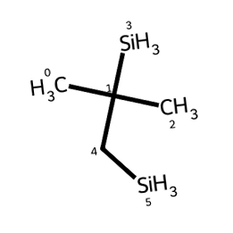 CC(C)([SiH3])C[SiH3]